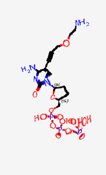 NCCOCC#Cc1cn([C@H]2CC[C@@H](COP(=O)(O)OP(=O)(O)OP(=O)(O)O)O2)c(=O)nc1N